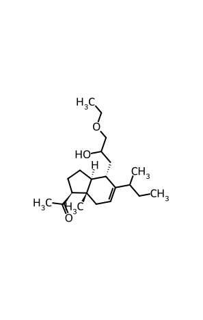 CCOCC(O)C[C@@H]1C(C(C)CC)=CC[C@]2(C)[C@@H](C(C)=O)CC[C@@H]12